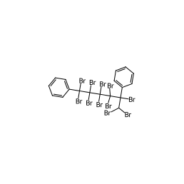 BrC(Br)C(Br)(c1ccccc1)C(Br)(Br)C(Br)(Br)C(Br)(Br)C(Br)(Br)c1ccccc1